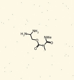 CNC(=O)N(C)C(=O)OCC(N)N